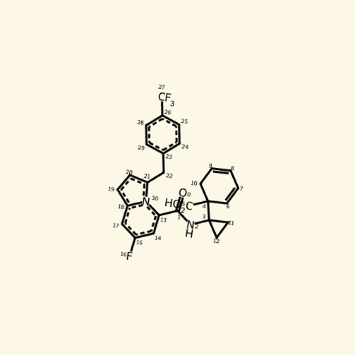 O=C(NC1(C2(C(=O)O)C=CC=CC2)CC1)c1cc(F)cc2ccc(Cc3ccc(C(F)(F)F)cc3)n12